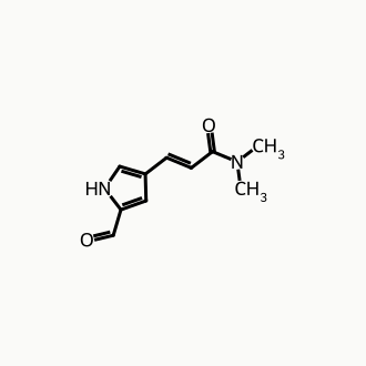 CN(C)C(=O)C=Cc1c[nH]c(C=O)c1